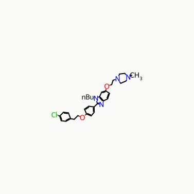 CCCCn1c(-c2ccc(OCCc3ccc(Cl)cc3)cc2)nc2ccc(OCCN3CCN(C)CC3)cc21